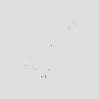 O=C1OC(Cn2ccnn2)CN1c1cc(F)c(N2[C@@H]3CC[C@H]2CSC3)c(F)c1